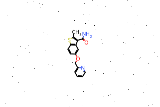 Cc1sc2ccc(OCc3ccccn3)cc2c1C(N)=O